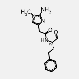 Cn1cc(CC(=O)N[C@H](C=O)CCc2ccccc2)nc1N